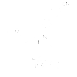 CC1(C)C2=C(C=CC(c3nc(-c4ccc5c(c4)C4(CCCCC4)c4cc(C#N)ccc4-5)cc(-c4ccc5c(c4)oc4ccccc45)n3)C2)c2ccccc21